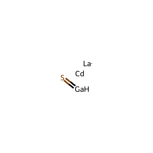 [Cd].[La].[S]=[GaH]